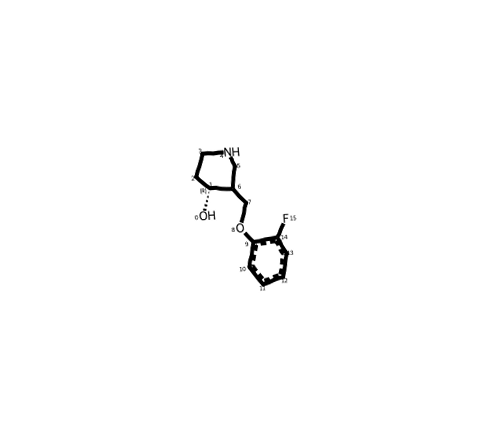 O[C@@H]1CCNCC1COc1ccccc1F